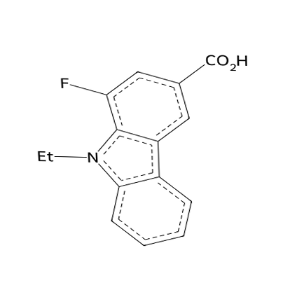 CCn1c2ccccc2c2cc(C(=O)O)cc(F)c21